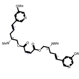 CN[C@H](C/C=C/c1cncc(OC)c1)COC(=O)/C=C\C(=O)OC[C@@H](C/C=C/c1cncc(OC)c1)NC